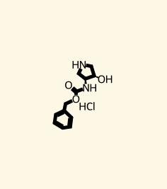 Cl.O=C(N[C@H]1CNC[C@@H]1O)OCc1ccccc1